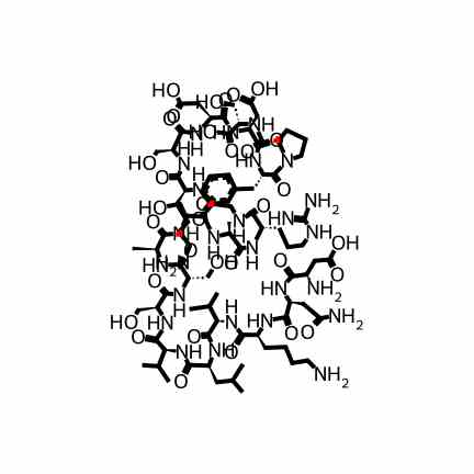 CC(C)C[C@H](NC(=O)[C@@H](NC(=O)[C@H](CCCCN)NC(=O)[C@H](CC(N)=O)NC(=O)[C@@H](N)CC(=O)O)C(C)C)C(=O)N[C@H](C(=O)N[C@@H](CO)C(=O)N[C@@H](CO)C(=O)N[C@@H](C)C(=O)N[C@@H](CO)C(=O)N[C@@H](C)C(=O)N[C@@H](CCCNC(=N)N)C(=O)NCC(=O)N[C@@H](CCCCN)C(=O)N[C@@H](CO)C(=O)N[C@@H](CC(=O)O)C(=O)N[C@@H](CC(=O)O)C(=O)N[C@@H](Cc1ccccc1)C(=O)N1CCC[C@H]1C(=O)N[C@@H](CO)C(=O)O)C(C)C